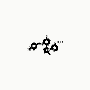 CCOC(=O)c1ccnc(-n2c(C)ccc2-c2ccc(Cl)cc2OCc2ccc(Cl)cc2)c1